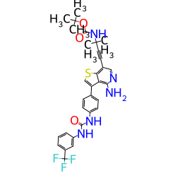 CC(C)(C#Cc1cnc(N)c2c(-c3ccc(NC(=O)Nc4cccc(C(F)(F)F)c4)cc3)csc12)NC(=O)OC(C)(C)C